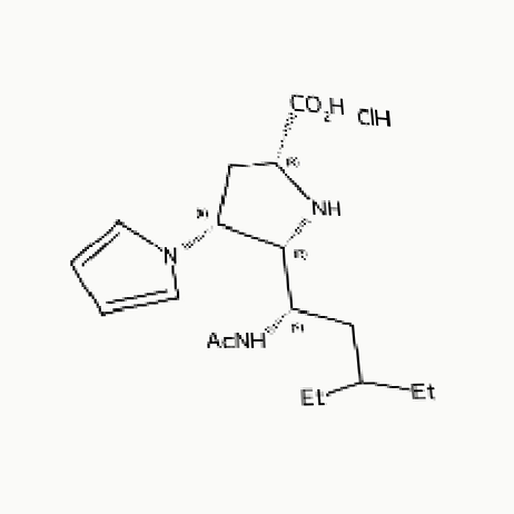 CCC(CC)C[C@H](NC(C)=O)[C@H]1N[C@@H](C(=O)O)C[C@H]1n1cccc1.Cl